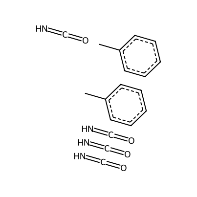 Cc1ccccc1.Cc1ccccc1.N=C=O.N=C=O.N=C=O.N=C=O